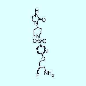 NC/C(=C\F)COc1ccc(S(=O)(=O)N2CCC(N3CCNC3=O)CC2)cn1